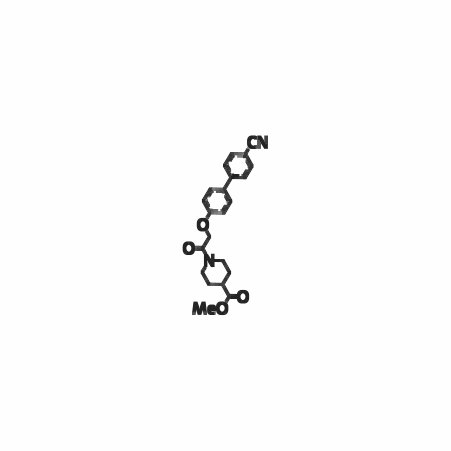 COC(=O)C1CCN(C(=O)COc2ccc(-c3ccc(C#N)cc3)cc2)CC1